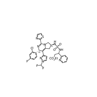 CCOC(=O)CC(NS(=O)(=O)N[C@H]1CC2=C(c3ccn(C(F)F)n3)[C@H](c3ccc(F)cc3Cl)N=C(c3nccs3)N2C1)c1ccccn1